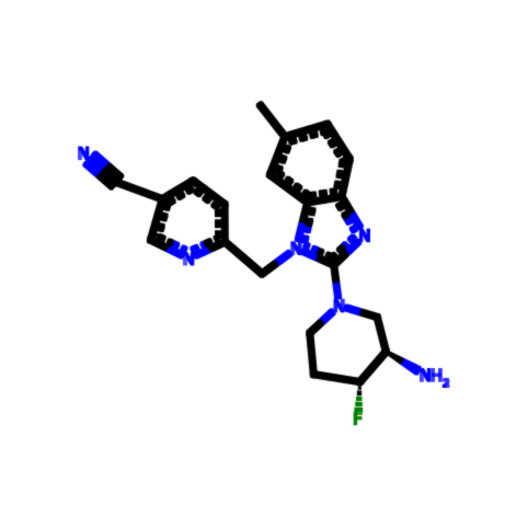 Cc1ccc2nc(N3CC[C@@H](F)[C@H](N)C3)n(Cc3ccc(C#N)cn3)c2c1